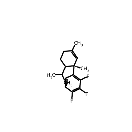 CC1=C[C@](C)(c2ccc(F)c(F)c2F)C(C(C)C)CC1